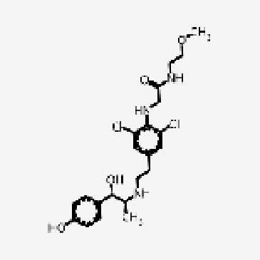 COCCNC(=O)CNc1c(Cl)cc(CCN[C@@H](C)[C@H](O)c2ccc(O)cc2)cc1Cl